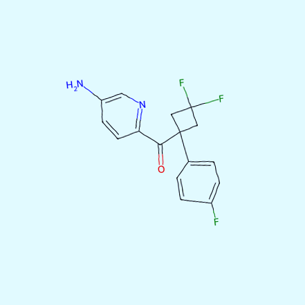 Nc1ccc(C(=O)C2(c3ccc(F)cc3)CC(F)(F)C2)nc1